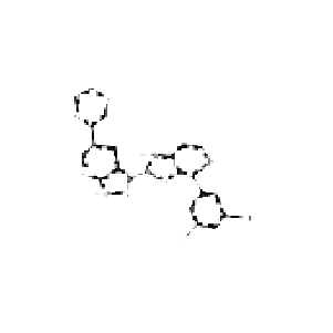 Oc1cc(F)cc(-c2nccc3[nH]c(-c4n[nH]c5ncc(-c6cnccn6)cc45)nc23)c1